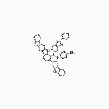 CC(C)(C)c1ccc(N2B3c4cc5nc(-c6ccccc6)sc5cc4-n4c5cc6c(cc5c5ccc(c3c54)-c3cc4oc5ccccc5c4cc32)oc2ccccc26)cc1